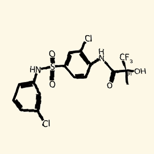 C[C@@](O)(C(=O)Nc1ccc(S(=O)(=O)Nc2cccc(Cl)c2)cc1Cl)C(F)(F)F